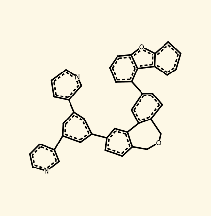 c1cncc(-c2cc(-c3cccnc3)cc(-c3ccc4c(c3)-c3cc(-c5cccc6oc7ccccc7c56)ccc3COC4)c2)c1